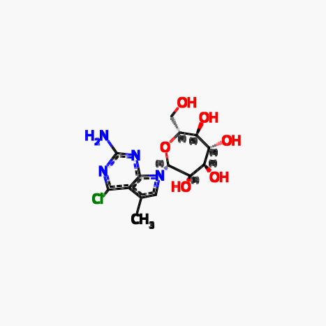 Cc1cn([C@@H]2O[C@H](CO)[C@@H](O)[C@H](O)[C@@H](O)[C@H]2O)c2nc(N)nc(Cl)c12